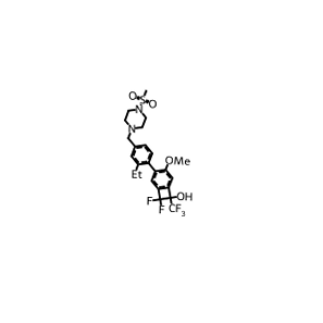 CCc1cc(CN2CCN(S(C)(=O)=O)CC2)ccc1-c1cc2c(cc1OC)C(O)(C(F)(F)F)C2(F)F